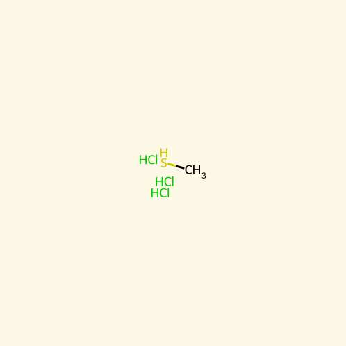 CS.Cl.Cl.Cl